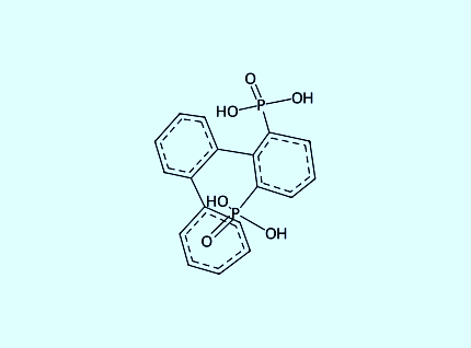 O=P(O)(O)c1cccc(P(=O)(O)O)c1-c1ccccc1-c1ccccc1